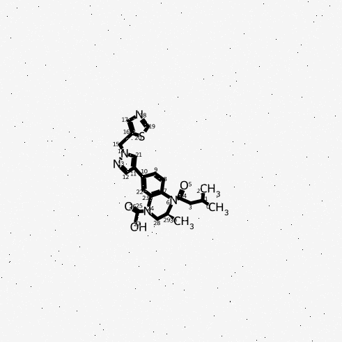 CC(C)CC(=O)N1c2ccc(-c3cnn(Cc4cncs4)c3)cc2N(C(=O)O)C[C@@H]1C